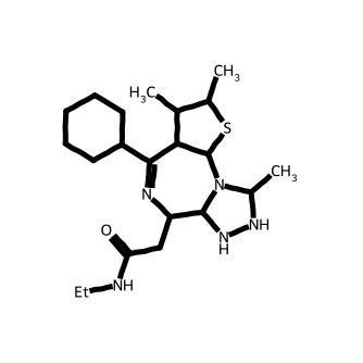 CCNC(=O)CC1N=C(C2CCCCC2)C2C(C)C(C)SC2N2C(C)NNC12